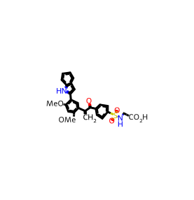 C=C(C(=O)c1ccc(S(=O)(=O)NCC(=O)O)cc1)c1cc(-c2cc3ccccc3[nH]2)c(OC)cc1OC